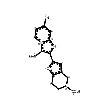 CNc1c(-c2cc3c(o2)CCN(C(=O)O)C3)nc2cc(C#N)ccn12